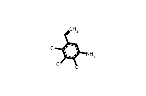 C=Cc1cc(N)c(Cl)c(Cl)c1Cl